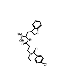 CCN(CCC(=O)NC(C[C@@H]1COc2ccccc21)B(O)O)C(=O)c1ccc(Cl)cc1